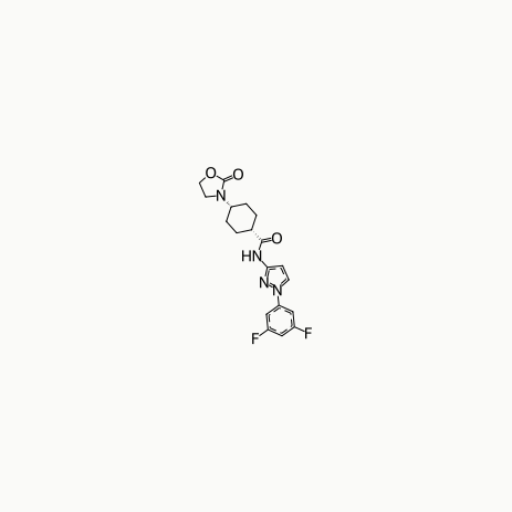 O=C1OCCN1[C@H]1CC[C@@H](C(=O)Nc2ccn(-c3cc(F)cc(F)c3)n2)CC1